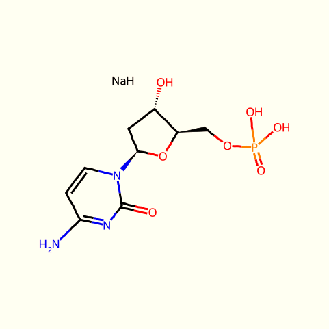 Nc1ccn([C@H]2C[C@H](O)[C@@H](COP(=O)(O)O)O2)c(=O)n1.[NaH]